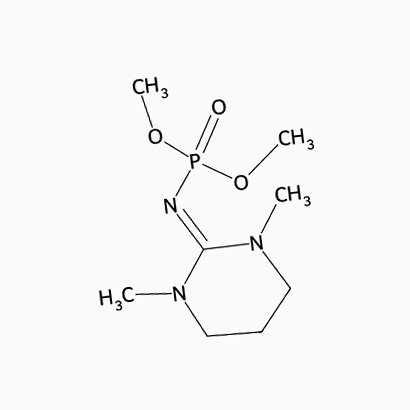 COP(=O)(N=C1N(C)CCCN1C)OC